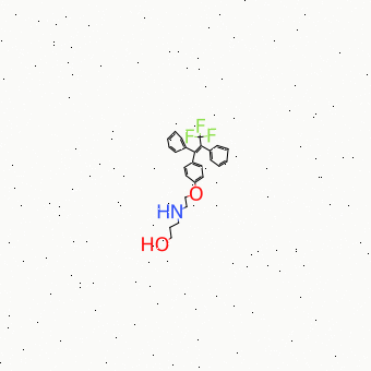 OCCCNCCOc1ccc(/C(=C(\c2ccccc2)C(F)(F)F)c2ccccc2)cc1